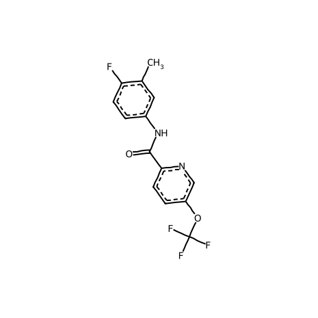 Cc1cc(NC(=O)c2ccc(OC(F)(F)F)cn2)ccc1F